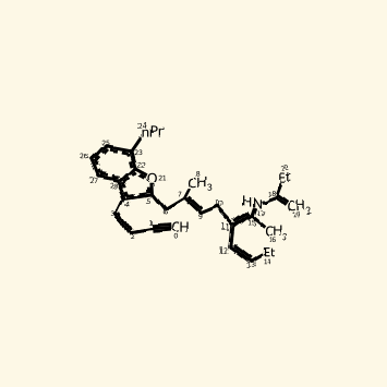 C#C/C=C\c1c(C/C(C)=C/CC(/C=C\CC)=C(/C)NC(=C)CC)oc2c(CCC)cccc12